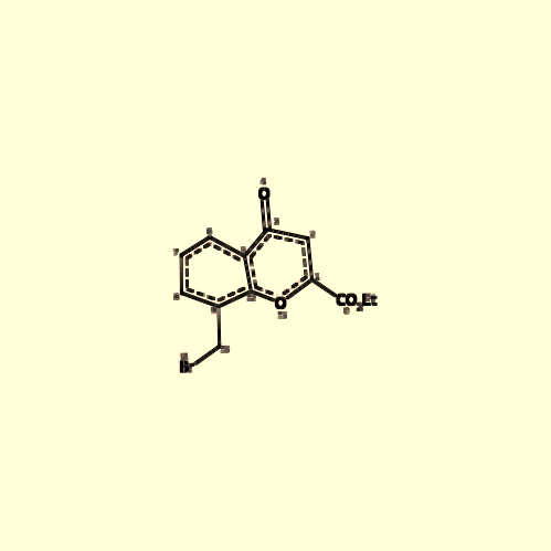 CCOC(=O)c1cc(=O)c2cccc(CBr)c2o1